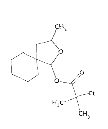 CCC(C)(C)C(=O)OC1OC(C)CC12CCCCC2